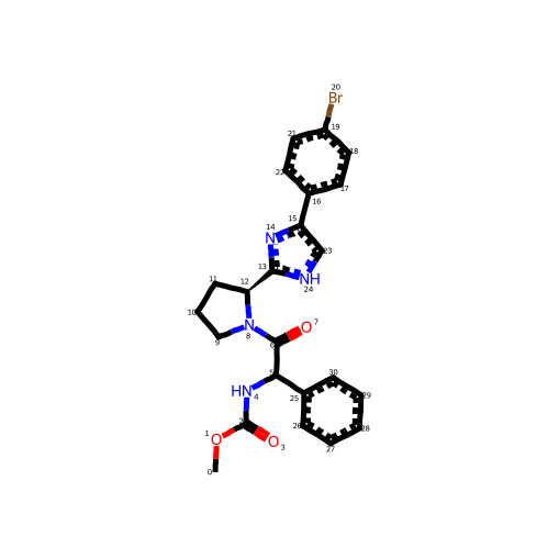 COC(=O)NC(C(=O)N1CCC[C@H]1c1nc(-c2ccc(Br)cc2)c[nH]1)c1ccccc1